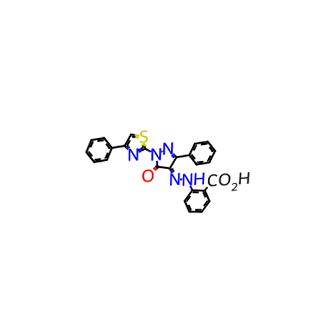 O=C(O)c1ccccc1N/N=C1/C(=O)N(c2nc(-c3ccccc3)cs2)N=C1c1ccccc1